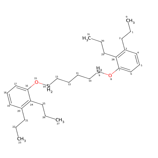 CCCc1cccc(O[SiH2]CCCC[SiH2]Oc2cccc(CCC)c2CCC)c1CCC